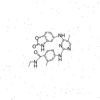 CCNC(=O)c1ccc(Nc2ncc(C)c(Nc3ccc4oc(=O)[nH]c4c3)n2)cc1C